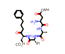 COC(=O)C[C@H](N)C(=O)N[C@@H](C)C(=O)N[C@H](C(=O)N[C@@H](CC(=O)O)C(=O)CCCc1ccccc1)C(C)C